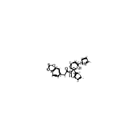 O=C(Cc1ccc2c(c1)OCO2)NC1(c2ccco2)N=CC=C(n2cccn2)N1